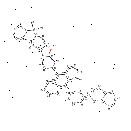 CC1(C)c2ccccc2-c2cc3c(cc21)oc1cc(-c2c4ccccc4c(-c4cccc(-c5ccc6ccccc6c5)c4)c4ccccc24)ccc13